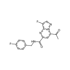 CC(=O)c1cc(C(=O)NCc2ccc(F)cc2)nc2c(F)cnn12